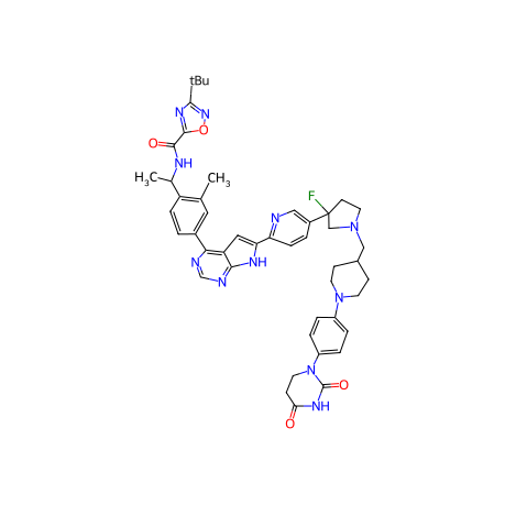 Cc1cc(-c2ncnc3[nH]c(-c4ccc(C5(F)CCN(CC6CCN(c7ccc(N8CCC(=O)NC8=O)cc7)CC6)C5)cn4)cc23)ccc1C(C)NC(=O)c1nc(C(C)(C)C)no1